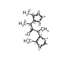 Cc1ncsc1C(C)C(=O)C(C)c1scnc1C